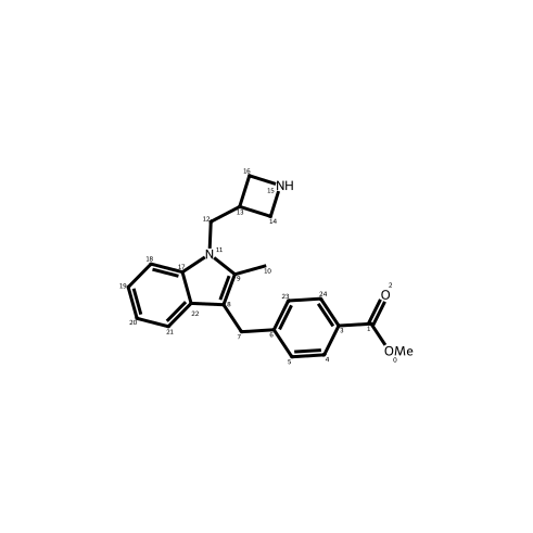 COC(=O)c1ccc(Cc2c(C)n(CC3CNC3)c3ccccc23)cc1